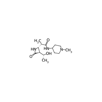 CC(C(=O)NC1CCN(C)CC1)[C@H]1NC(=O)[C@@H]1[C@@H](C)O